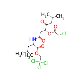 CC(C)CC(=O)C(CC(=O)NC(CC(C)C)C(=O)OCC(Cl)(Cl)Cl)OC(=O)CCl